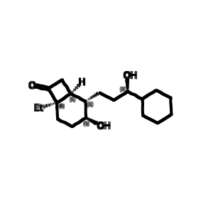 CC[C@@]12CC[C@H](O)[C@@H](CC[C@@H](O)C3CCCCC3)[C@@H]1CC2=O